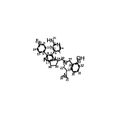 CNc1nccc(-c2c(-c3ccc(F)cc3)nc3n2C(CN(CCN(C)C)Cc2ccccc2O)CC3)n1